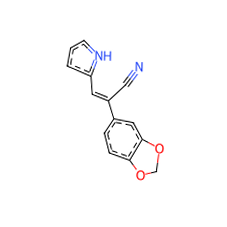 N#C/C(=C\c1ccc[nH]1)c1ccc2c(c1)OCO2